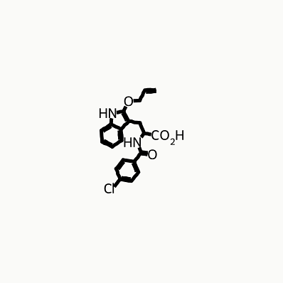 C=CCOc1[nH]c2ccccc2c1CC(NC(=O)c1ccc(Cl)cc1)C(=O)O